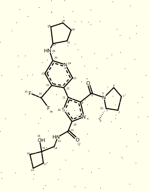 C[C@H]1CCCN1C(=O)c1nc(C(=O)NCC2(O)CCC2)sc1-c1cnc(NC2CCCC2)cc1C(F)F